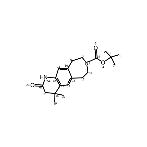 CC(C)(C)OC(=O)N1CCc2cc3c(cc2CC1)C(C)(C)CC(=O)N3